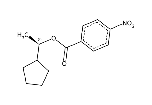 C[C@@H](OC(=O)c1ccc([N+](=O)[O-])cc1)C1CCCC1